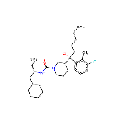 CNC[C@H](CC1CCCCC1)NC(=O)N1CCC[C@@H]([C@@](O)(CCCCOC)c2cccc(F)c2C)C1